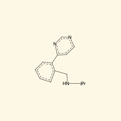 CC(C)NCc1ccccc1-c1ccncn1